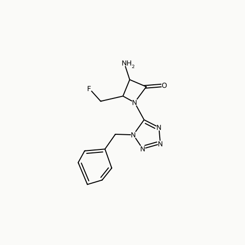 NC1C(=O)N(c2nnnn2Cc2ccccc2)C1CF